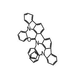 O=c1c2c(ccc3c4ccccc4n(-c4ccccc4)c32)c2ccc3c4ccccc4n(-c4ccccc4)c3c2n1-c1ccccc1